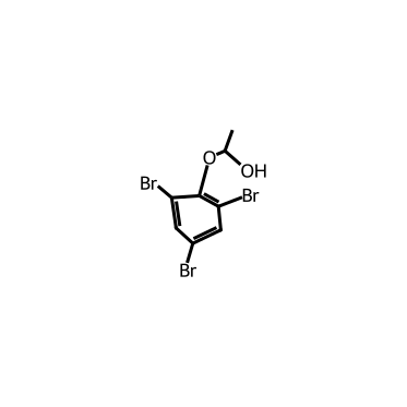 CC(O)Oc1c(Br)cc(Br)cc1Br